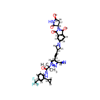 CC(C)(C(=O)Nc1ccc(C(F)(F)F)cc1C1CC1)n1cc(C#CC2CN(c3ccc4c(c3)C(=O)N(C3CCC(=O)NC3=O)C4=O)C2)c(C#N)n1